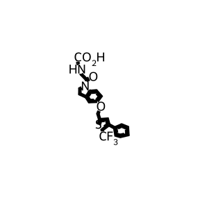 O=C(O)CNCC(=O)N1CCc2cc(OCc3cc(-c4ccccc4)c(C(F)(F)F)s3)ccc21